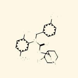 COc1ccc(O)c(N(Cc2cccc(C(=O)O)c2)C(=O)O[C@H]2CN3CCC2CC3)c1